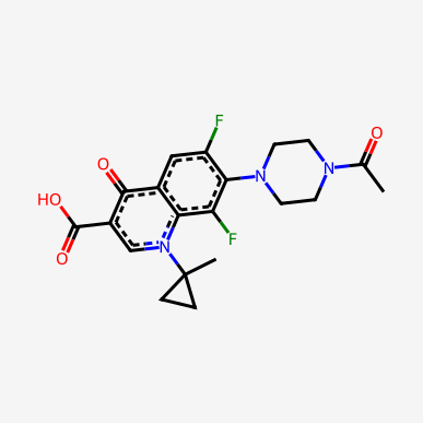 CC(=O)N1CCN(c2c(F)cc3c(=O)c(C(=O)O)cn(C4(C)CC4)c3c2F)CC1